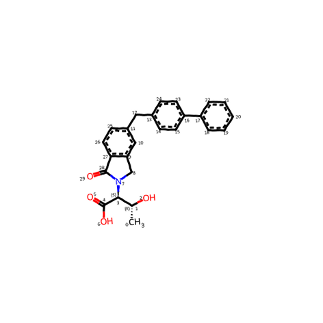 C[C@@H](O)[C@@H](C(=O)O)N1Cc2cc(Cc3ccc(-c4ccccc4)cc3)ccc2C1=O